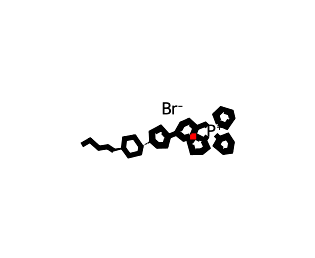 CCCCC[C@H]1CC[C@H](c2ccc(-c3ccc(C[P+](c4ccccc4)(c4ccccc4)c4ccccc4)cc3)cc2)CC1.[Br-]